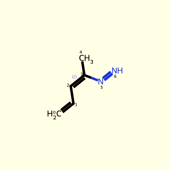 C=C/C=C(/C)N=N